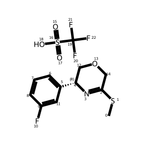 CSC1=N[C@H](c2cccc(F)c2)COC1.O=S(=O)(O)C(F)(F)F